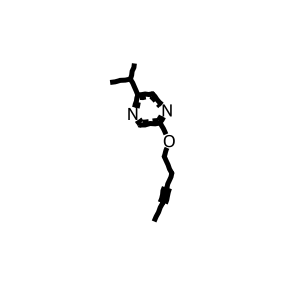 CC#CCCOc1cnc(C(C)C)cn1